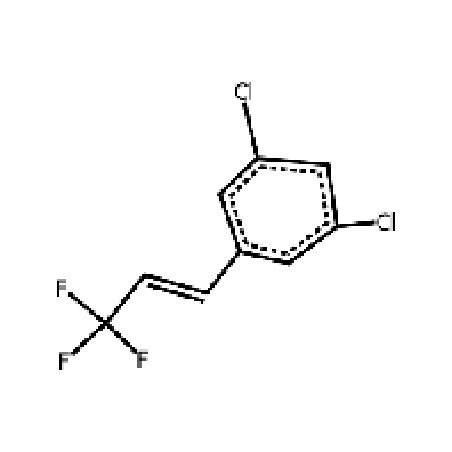 FC(F)(F)C=Cc1cc(Cl)cc(Cl)c1